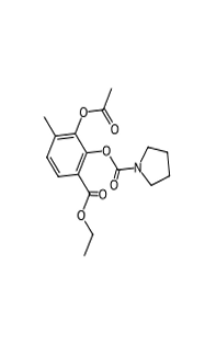 CCOC(=O)c1ccc(C)c(OC(C)=O)c1OC(=O)N1CCCC1